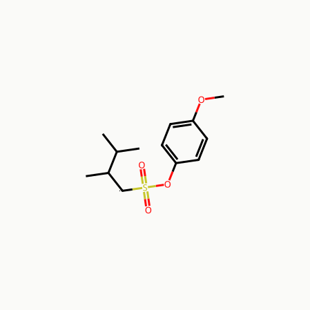 COc1ccc(OS(=O)(=O)[CH]C(C)C(C)C)cc1